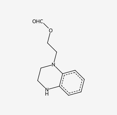 O=COCCN1CCNc2ccccc21